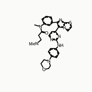 CNCCC(=O)N(C)c1cccc(-c2nc3sccn3c2-c2ccnc(Nc3ccc(N4CCOCC4)cc3)n2)c1